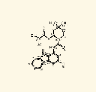 CCN(CC)C(=O)CN1CC(C)(C)OC[C@H]1C(=O)Nc1cc(Cl)cc2c1[nH]c1cnccc12